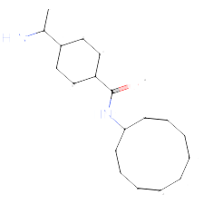 CC(N)C1CCC(C(=O)NC2CCCCCCCCC2)CC1